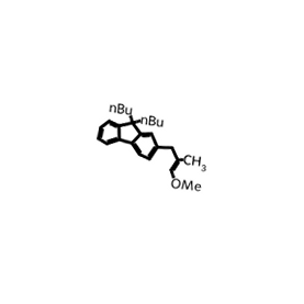 CCCCC1(CCCC)c2ccccc2-c2ccc(CC(C)=COC)cc21